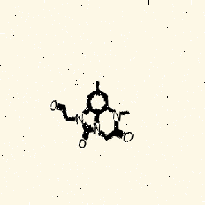 Cc1cc2c3c(c1)n(CC=O)c(=O)n3CC(=O)N2C